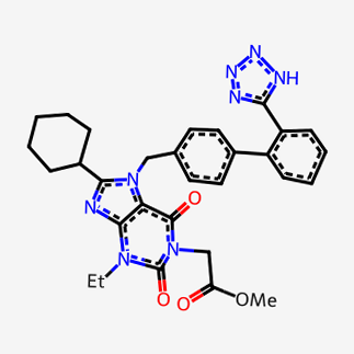 CCn1c(=O)n(CC(=O)OC)c(=O)c2c1nc(C1CCCCC1)n2Cc1ccc(-c2ccccc2-c2nnn[nH]2)cc1